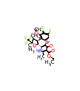 CCOC(=O)c1c(C)[nH]c([C@@H]2O[C@@](C)(C(F)(F)F)[C@@H](C)[C@H]2c2ccc(F)c(F)c2OC)c(Br)c1=O